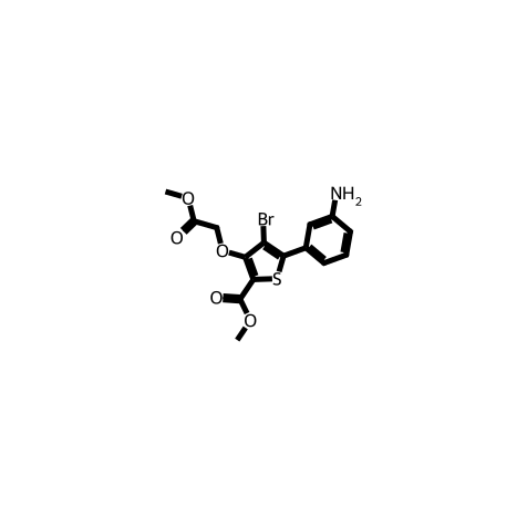 COC(=O)COc1c(C(=O)OC)sc(-c2cccc(N)c2)c1Br